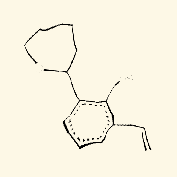 C=Cc1cccc(C2CCCCO2)c1O